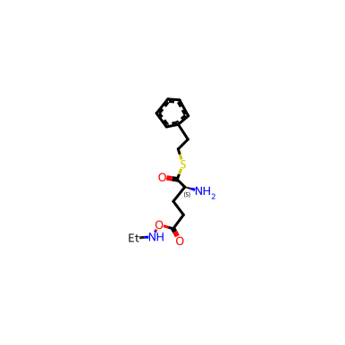 CCNOC(=O)CC[C@H](N)C(=O)SCCc1ccccc1